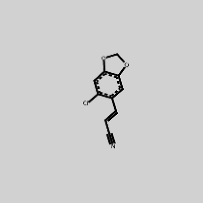 N#C/C=C/c1cc2c(cc1Cl)OCO2